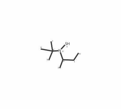 CCC(C)N(S)C(C)(C)C